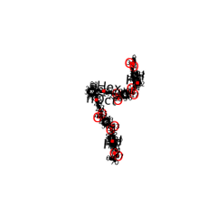 C=CC(=O)OCC1C[C@@H]2C3CC(CC3COC(=O)C3CCC(C(=O)OCCCCCCC4C(CCCCCC)CCC(CCCCCCCC)C4CCCCCCOC(=O)C4CCC(C(=O)OCC5CC6CC5[C@H]5CC(COC(=O)C(=C)C)C[C@@H]65)CC4)CC3)[C@@H]2C1